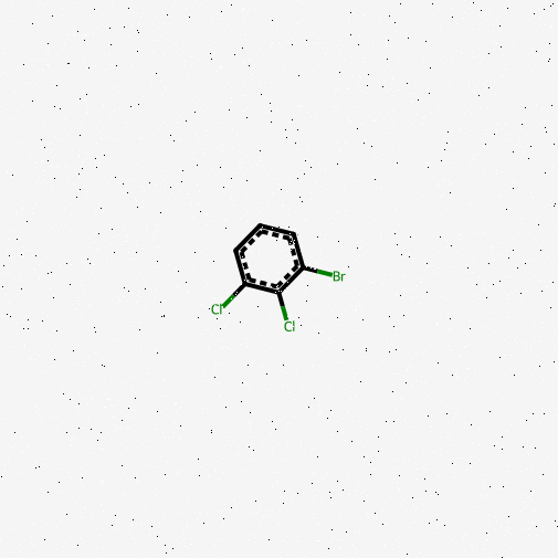 Clc1cc[c]c(Br)c1Cl